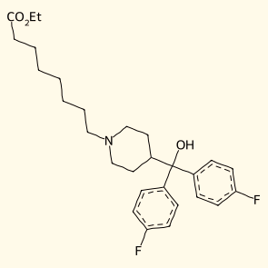 CCOC(=O)CCCCCCCN1CCC(C(O)(c2ccc(F)cc2)c2ccc(F)cc2)CC1